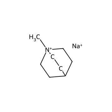 C[N+]12CCC(CC1)CC2.[Na+]